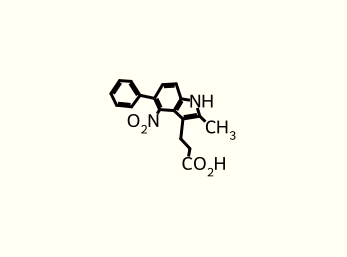 Cc1[nH]c2ccc(-c3ccccc3)c([N+](=O)[O-])c2c1CCC(=O)O